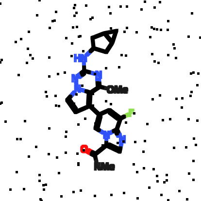 CNC(=O)c1cnc2c(F)cc(-c3ccn4nc(NC5CC6CC6C5)nc(OC)c34)cn12